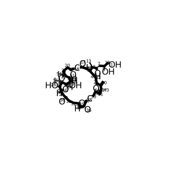 C=C1C2C[C@@H]3O[C@H](C[C@H](O)CO)[C@H](C)[C@H]3CC(=O)CC3CC[C@@H]4O[C@H]5[C@@H](O)[C@@H](CC(=O)CC[C@H]6CC(=O)C(CC[C@@H](C[C@H]1C)O2)O6)O[C@H]5[C@@H](O)[C@H]4O3